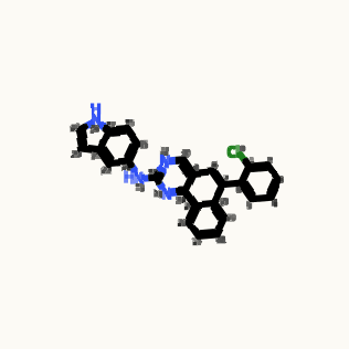 Clc1ccccc1C1Cc2cnc(Nc3ccc4[nH]ccc4c3)nc2-c2ccccc21